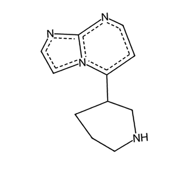 c1cc(C2CCCNC2)n2ccnc2n1